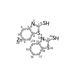 Sc1nc2ccccc2s1.Sc1nc2ccccc2s1.[Zn]